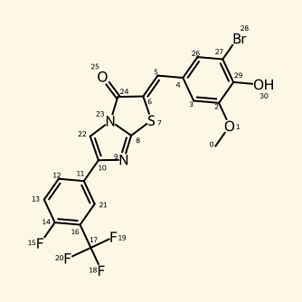 COc1cc(/C=c2\sc3nc(-c4ccc(F)c(C(F)(F)F)c4)cn3c2=O)cc(Br)c1O